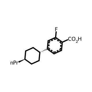 CCC[C@H]1CC[C@H](c2ccc(C(=O)O)c(F)c2)CC1